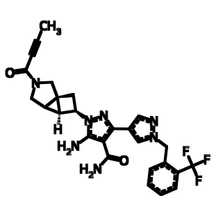 CC#CC(=O)N1CC2[C@@H]3[C@H](n4nc(-c5cnn(Cc6ccccc6C(F)(F)F)c5)c(C(N)=O)c4N)C[C@]23C1